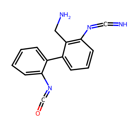 N=C=Nc1cccc(-c2ccccc2N=C=O)c1CN